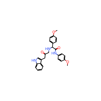 COc1ccc(NC(=O)C(NCC(=O)Cc2c[nH]c3ccccc23)c2ccc(OC)cc2)cc1